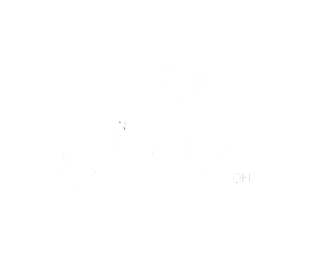 CN(Cc1ccccc1)C[C@H]1CCc2cc(O)ccc2[C@H]1c1ccccc1